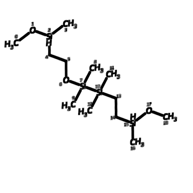 CO[SiH](C)CCO[Si](C)(C)[Si](C)(C)CC[SiH](C)OC